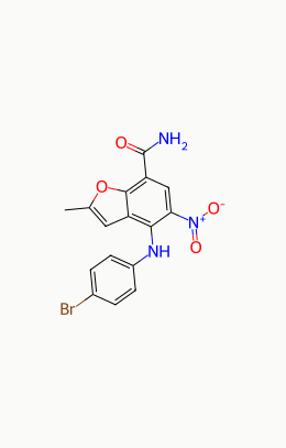 Cc1cc2c(Nc3ccc(Br)cc3)c([N+](=O)[O-])cc(C(N)=O)c2o1